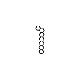 c1ccc2cc3cc4cc5cc6c(ccc7ccccc76)cc5cc4cc3cc2c1